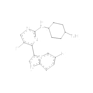 NC1CCC(Nc2ncc(F)c(-c3cnc4ccc(Br)cn34)n2)CC1